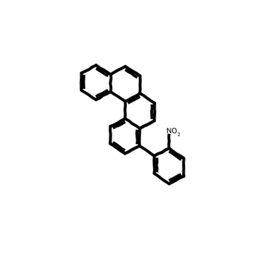 O=[N+]([O-])c1ccccc1-c1cccc2c1ccc1ccc3ccccc3c12